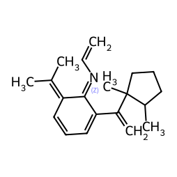 C=C/N=C1/C(C(=C)C2(C)CCCC2C)=CC=CC1=C(C)C